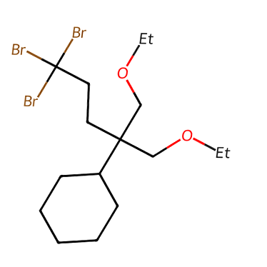 CCOCC(CCC(Br)(Br)Br)(COCC)C1CCCCC1